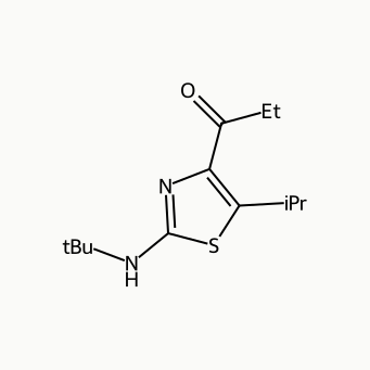 CCC(=O)c1nc(NC(C)(C)C)sc1C(C)C